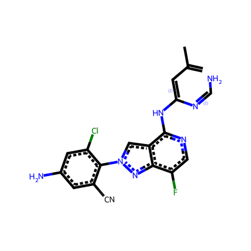 C=C(C)/C=C(\N=C/N)Nc1ncc(F)c2nn(-c3c(Cl)cc(N)cc3C#N)cc12